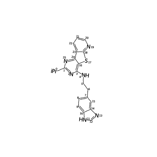 CC(C)c1nc(NCCc2ccc3[nH]cnc3c2)c2sc3ncccc3c2n1